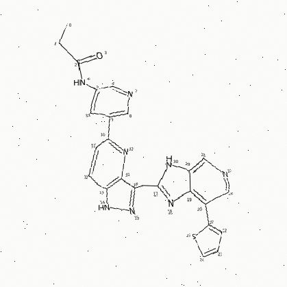 CCC(=O)Nc1cncc(-c2ccc3[nH]nc(-c4nc5c(-c6cccs6)cncc5[nH]4)c3n2)c1